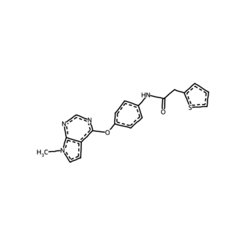 Cn1ccc2c(Oc3ccc(NC(=O)Cc4cccs4)cc3)ncnc21